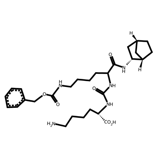 NCCCC[C@H](NC(=O)NC(CCCCNC(=O)OCc1ccccc1)C(=O)N[C@@H]1C[C@@H]2CC[C@H]1C2)C(=O)O